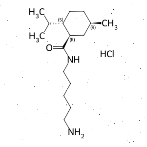 CC(C)[C@@H]1CC[C@@H](C)C[C@H]1C(=O)NCCCCCN.Cl